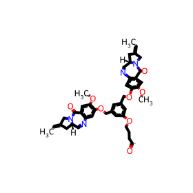 C/C=C1\C[C@H]2C=Nc3cc(OCc4cc(COc5cc6c(cc5OC)C(=O)N5C/C(=C/C)C[C@H]5C=N6)cc(OCCC[C]=O)c4)c(OC)cc3C(=O)N2C1